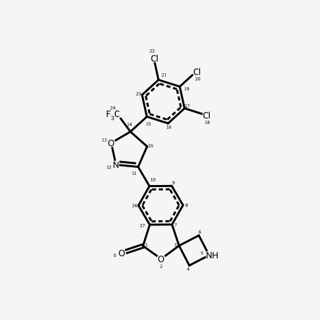 O=C1OC2(CNC2)c2ccc(C3=NOC(c4cc(Cl)c(Cl)c(Cl)c4)(C(F)(F)F)C3)cc21